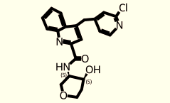 O=C(N[C@H]1COCC[C@@H]1O)c1cc(Cc2ccnc(Cl)c2)c2ccccc2n1